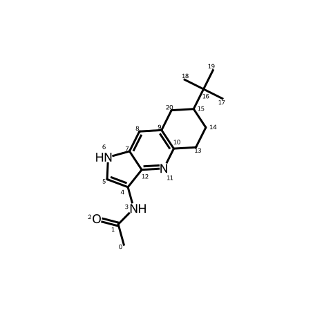 CC(=O)Nc1c[nH]c2cc3c(nc12)CCC(C(C)(C)C)C3